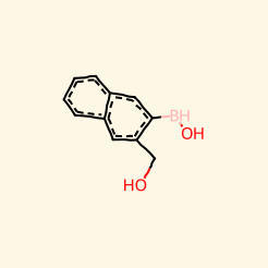 OBc1cc2ccccc2cc1CO